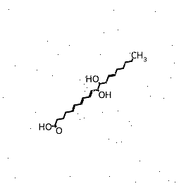 CCCCCC=CCC(O)C(O)C=CC=CC=CCCCC(=O)O